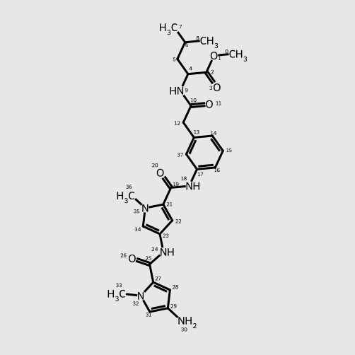 COC(=O)C(CC(C)C)NC(=O)Cc1cccc(NC(=O)c2cc(NC(=O)c3cc(N)cn3C)cn2C)c1